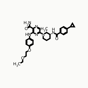 CCOCCOc1ccc(Nc2nc(N3CCC[C@@H](NC(=O)c4ccc(C5CC5)cc4)[C@H]3C)cnc2C(N)=O)cc1